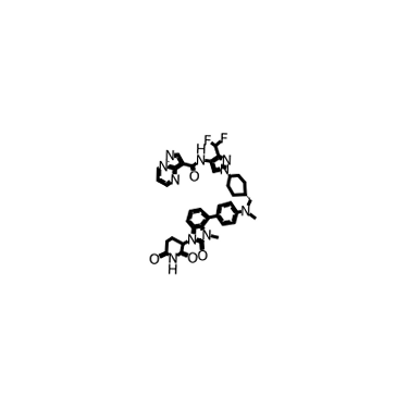 CN(C[C@H]1CC[C@H](n2cc(NC(=O)c3cnn4cccnc34)c(C(F)F)n2)CC1)c1ccc(-c2cccc3c2n(C)c(=O)n3C2CCC(=O)NC2=O)cc1